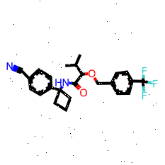 CC(C)C(OCc1ccc(C(F)(F)F)cc1)C(=O)NC1(c2ccc(C#N)cc2)CCC1